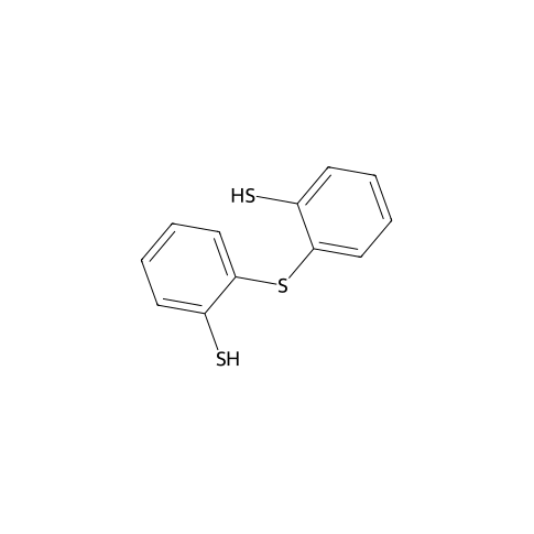 Sc1ccccc1Sc1ccccc1S